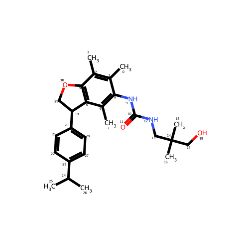 Cc1c(C)c2c(c(C)c1NC(=O)NCC(C)(C)CO)C(c1ccc(C(C)C)cc1)CO2